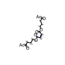 CC(=O)C(=O)CCCOC(=O)/C=C\C(=O)OCCCC(=O)C(C)=O